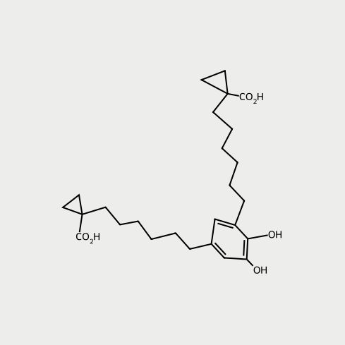 O=C(O)C1(CCCCCCc2cc(O)c(O)c(CCCCCCC3(C(=O)O)CC3)c2)CC1